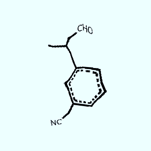 CC(C=O)c1cccc(C#N)c1